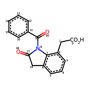 O=C(O)Cc1cccc2c1N(C(=O)c1ccccc1)C(=O)C2